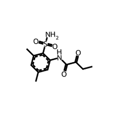 CCC(=O)C(=O)Nc1cc(C)cc(C)c1S(N)(=O)=O